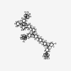 Cc1ccc(N(c2ccc(B3OC(C)(C)C(C)(C)O3)cc2)c2ccc(-c3ccc(-c4ccc(N(c5ccc(B6OC(C)(C)C(C)(C)O6)cc5)c5cccc(-c6ccc7oc8c(N(c9ccccc9)c9ccc(B%10OC(C)(C)C(C)(C)O%10)cc9)cccc8c7c6)c5)cc4)cc3)cc2)cc1